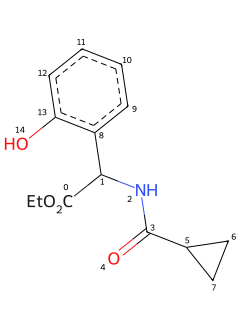 CCOC(=O)C(NC(=O)C1CC1)c1ccccc1O